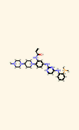 C=CC(=O)Nc1cc(Nc2nccc(Nc3ccccc3P(C)C)n2)ccc1N1CCC(N2CCN(C)CC2)CC1